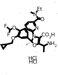 CCN(C)C(=O)c1cccc(N2C(C(=O)O)=C(C(C)N)O[C@@]2(C)c2ccc(OC(F)F)c(OCC3CC3)c2)n1.Cl.Cl